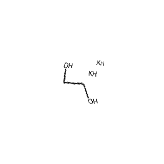 OCCO.[KH].[KH]